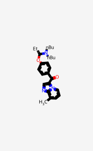 CCCCN(CCCC)C(CC)Oc1ccc(C(=O)c2cnc3c(C)cccn23)cc1